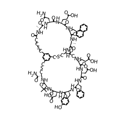 C[C@H]1NC(=O)CCSCc2cc3cc(c2)CSC[C@@H](NC(=O)[C@@H](C)NC(=O)[C@H](Cc2cccc4ccccc24)NC(=O)[C@H](CCC(=O)O)NC(=O)[C@H](CC(N)=O)NC1=O)C(=O)CN[C@@H](CCC(=O)O)C(=O)N[C@@H](CC(=O)O)C(=O)N[C@@H](Cc1ccccc1)C(=O)N[C@@H](Cc1ccc(O)cc1)C(=O)N[C@@H](CC(=O)O)C(=O)N[C@@H](C(C)(C)C)C(=O)N[C@H](C(N)=O)CSC3